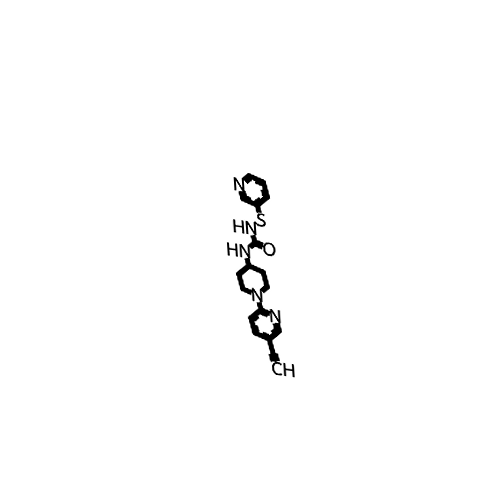 C#Cc1ccc(N2CCC(NC(=O)NSc3cccnc3)CC2)nc1